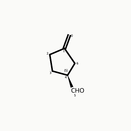 C=C1CC[C@H](C=O)C1